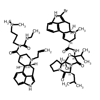 C=CCN1C[C@H](C(=O)N(CCCN(C)C)C(=O)NCC)C[C@@H]2c3cccc4[nH]cc(c34)C[C@H]21.CC(C)C[C@H]1C(=O)N2CCC[C@H]2[C@]2(O)O[C@](NC(=O)[C@@H]3C=C4c5cccc6[nH]c(Br)c(c56)C[C@H]4N(C)C3)(C(C)C)C(=O)N12